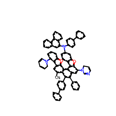 N#Cc1cc2c(oc3cccc(N4C=CC=CC4)c32)c2c1c(-c1ccc(-c3ccccc3)cc1)c(-c1ccccc1)c1cc(N3C=NC=CC3)c3oc4cc(N(c5ccc(-c6ccccc6)cc5)c5cc6ccccc6c6ccccc56)ccc4c3c12